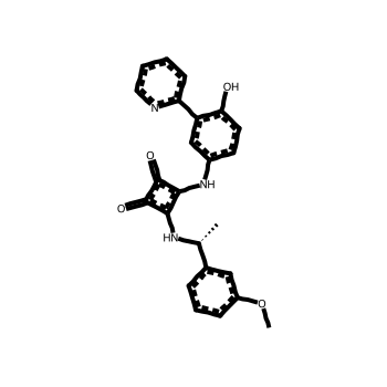 COc1cccc([C@@H](C)Nc2c(Nc3ccc(O)c(-c4ccccn4)c3)c(=O)c2=O)c1